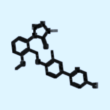 COc1cccc(-n2nnn(C)c2=O)c1COc1ccc(-c2ccc(Cl)cn2)cc1C